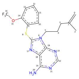 C=C(C)CCCn1c(Sc2ccccc2OC(F)(F)F)nc2c(N)ncnc21